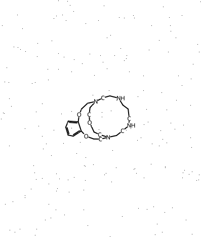 c1ccc2c(c1)OCCN1CCNCCCNCCN(CCOCC1)CCO2